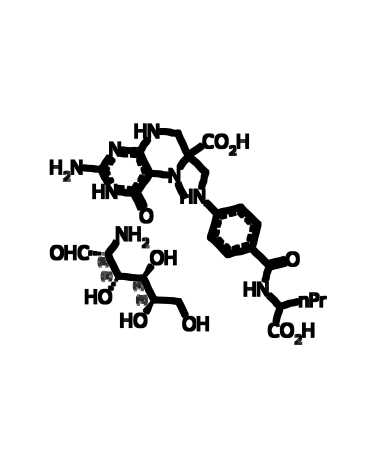 CCCC(NC(=O)c1ccc(NCC2(C(=O)O)CNc3nc(N)[nH]c(=O)c3N2C)cc1)C(=O)O.N[C@@H](C=O)[C@@H](O)[C@@H](O)[C@H](O)CO